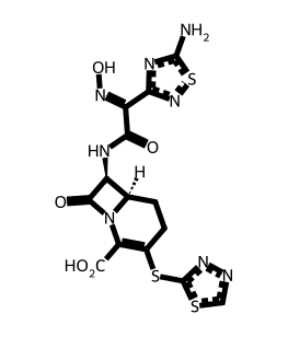 Nc1nc(C(=NO)C(=O)N[C@@H]2C(=O)N3C(C(=O)O)=C(Sc4nncs4)CC[C@H]23)ns1